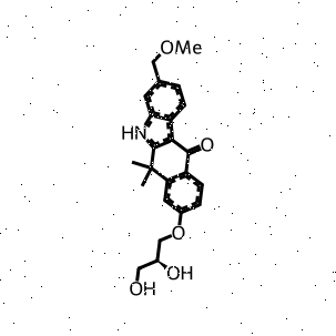 COCc1ccc2c3c([nH]c2c1)C(C)(C)c1cc(OC[C@@H](O)CO)ccc1C3=O